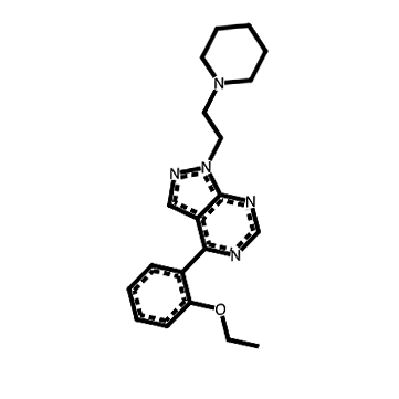 CCOc1ccccc1-c1ncnc2c1cnn2CCN1CCCCC1